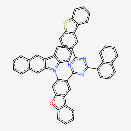 c1ccc2cc3c(cc2c1)c1ccccc1n3-c1cc2oc3ccccc3c2cc1-c1nc(-c2ccc3sc4ccccc4c3c2)nc(-c2cccc3ccccc23)n1